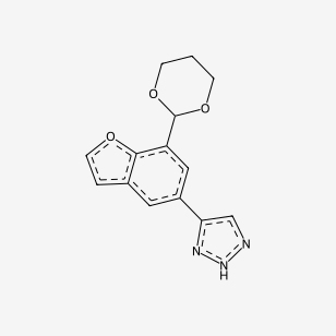 c1cc2cc(-c3cn[nH]n3)cc(C3OCCCO3)c2o1